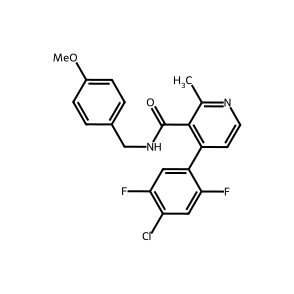 COc1ccc(CNC(=O)c2c(-c3cc(F)c(Cl)cc3F)ccnc2C)cc1